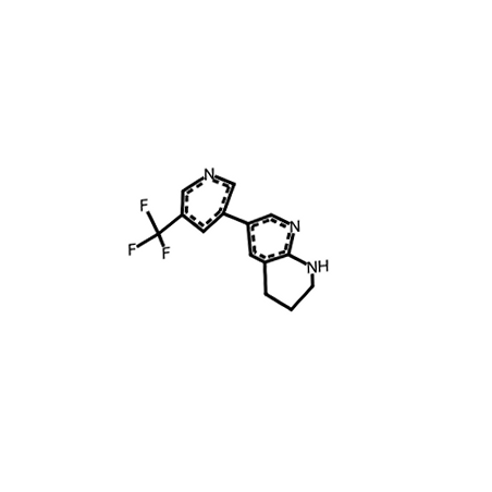 FC(F)(F)c1cncc(-c2cnc3c(c2)CCCN3)c1